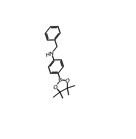 CC1(C)OB(c2ccc(NCc3ccccc3)cc2)OC1(C)C